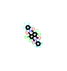 O=C1c2c(Cl)c(Cl)c3c4c(c(Cl)c(Cl)c(c24)C(=O)N1c1c(F)c(F)c(F)c(F)c1F)C(=O)N(c1c(F)c(F)c(F)c(F)c1F)C3=O